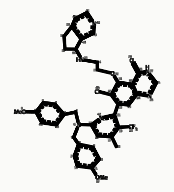 COc1ccc(CN(Cc2ccc(OC)cc2)c2cc(C)c(C(F)(F)F)c(-c3cc4nc[nH]c(=O)c4c(OCCNC4CCc5ccncc54)c3Cl)n2)cc1